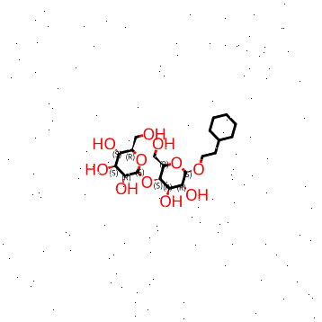 OC[C@H]1O[C@@H](O[C@H]2[C@H](O)[C@@H](O)[C@@H](OCCC3CCCCC3)O[C@@H]2CO)[C@H](O)[C@@H](O)[C@@H]1O